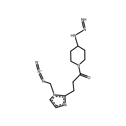 [N-]=[N+]=NCn1ccnc1CCC(=O)N1CCC(NN=N)CC1